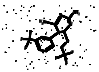 NC1=NC(OCC(F)(F)F)N(c2cccc(C(F)(F)F)c2)C(N)=N1